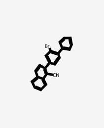 N#Cc1c(-c2ccc(-c3ccccc3)c(Br)c2)ccc2ccccc12